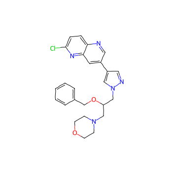 Clc1ccc2ncc(-c3cnn(CC(CN4CCOCC4)OCc4ccccc4)c3)cc2n1